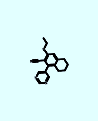 CCOc1cc2c(c(-c3cncnc3)c1C#N)CCCC2